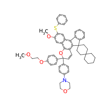 COCCOc1ccc(C2(c3ccc(N4CCOCC4)cc3)C=Cc3c4c(c5cc(Sc6ccccc6)c(OC)cc5c3O2)-c2ccccc2C42CCC3(CCCCC3)CC2)cc1